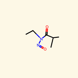 CCN(N=O)C(=O)C(C)C